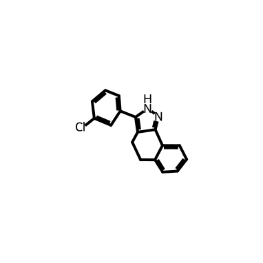 Clc1cccc(-c2[nH]nc3c2CCc2ccccc2-3)c1